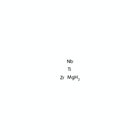 [MgH2].[Nb].[Ti].[Zr]